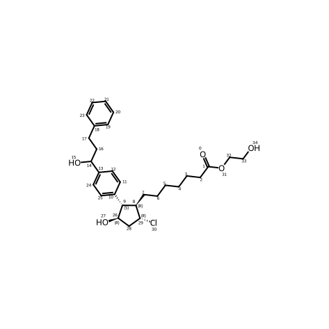 O=C(CCCCCC[C@@H]1[C@@H](c2ccc(C(O)CCc3ccccc3)cc2)[C@H](O)C[C@H]1Cl)OCCO